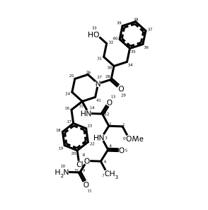 COCC(NC(=O)C(C)OC(N)=O)C(=O)NC1(Cc2ccc(Cl)cc2)CCCN(C(=O)C(CCO)Cc2ccccc2)C1